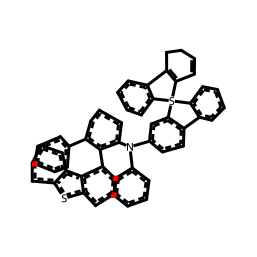 C1=CC2=C(CC1)c1ccccc1S21c2ccccc2-c2ccc(N(c3ccccc3)c3cccc(-c4ccccc4)c3-c3cccc4sc5ccccc5c34)cc21